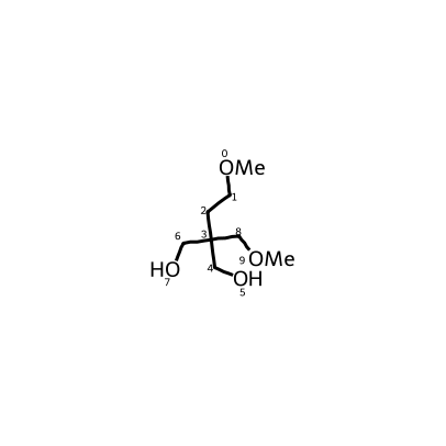 COCCC(CO)(CO)COC